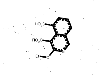 CCOc1ncc2cccc(S(=O)(=O)O)c2c1C(=O)O